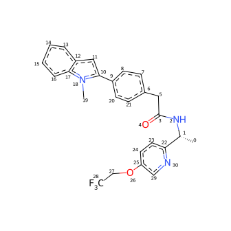 C[C@@H](NC(=O)Cc1ccc(-c2cc3ccccc3n2C)cc1)c1ccc(OCC(F)(F)F)cn1